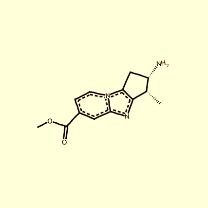 COC(=O)c1ccn2c3c(nc2c1)[C@@H](C)[C@@H](N)C3